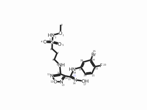 CONS(=O)(=O)CCCNc1nonc1/C(=N/O)Nc1ccc(F)c(Br)c1